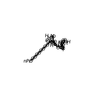 CCCOCCOCCOCCOCCOCCOCCOCCOCCOCCC(=O)NC(C(=O)N[C@@H](CCCNC(N)=O)C(=O)Nc1ccc(COC(=O)N[C@H]2CCc3c(C)c(F)cc4nc5c(c2c34)Cn2c-5cc3c(c2=O)COC(=O)[C@]3(O)CC)cc1)C(C)C